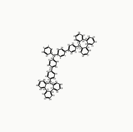 c1ccc(N(c2ccc(-c3ccc(N4c5ccccc5-c5ccccc5-c5ccccc54)cc3)cc2)c2ccc(-c3ccc(N4c5ccccc5-c5ccccc5-c5ccccc54)cc3)cc2)cc1